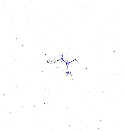 CNNN(C)N